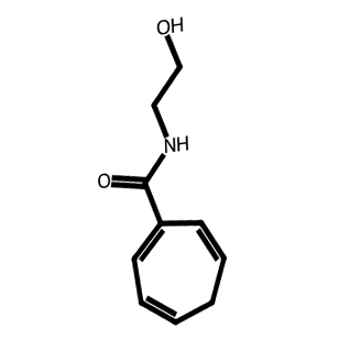 O=C(NCCO)C1=CC=CCC=C1